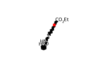 CCOC(=O)CCCCCCCCCCCSCCCNC(=O)Nc1ccccc1